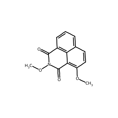 COc1ccc2cccc3c2c1C(=O)N(OC)C3=O